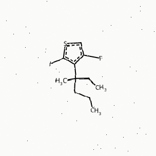 CCCC(C)(CC)c1c(F)csc1I